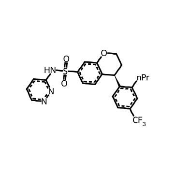 CCCc1cc(C(F)(F)F)ccc1[C@@H]1CCOc2cc(S(=O)(=O)Nc3cccnn3)ccc21